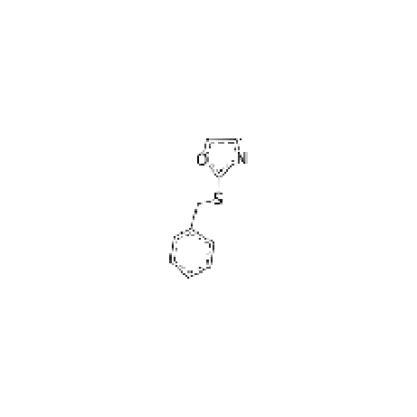 [c]1coc(SCc2ccccc2)n1